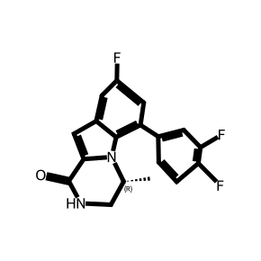 C[C@@H]1CNC(=O)c2cc3cc(F)cc(-c4ccc(F)c(F)c4)c3n21